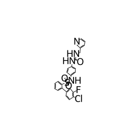 O=C(NCc1cccnc1)Nc1ccc(NS(=O)(=O)c2ccccc2-c2ccc(Cl)c(F)c2)cc1